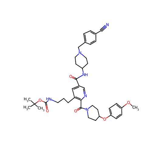 COc1ccc(OC2CCN(C(=O)c3ncc(C(=O)NC4CCN(Cc5ccc(C#N)cc5)CC4)cc3CCCNC(=O)OC(C)(C)C)CC2)cc1